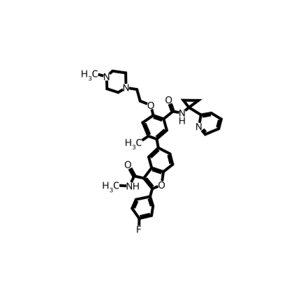 CNC(=O)c1c(-c2ccc(F)cc2)oc2ccc(-c3cc(C(=O)NC4(c5ccccn5)CC4)c(OCCN4CCN(C)CC4)cc3C)cc12